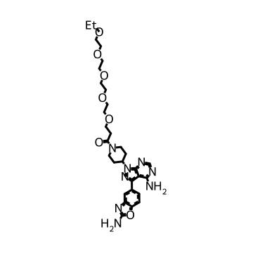 CCOCCOCCOCCOCCOCCC(=O)N1CCC(n2nc(-c3ccc4oc(N)nc4c3)c3c(N)ncnc32)CC1